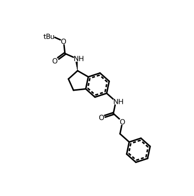 CC(C)(C)OC(=O)N[C@@H]1CCc2cc(NC(=O)OCc3ccccc3)ccc21